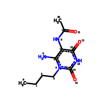 CCCCn1c(N)c(NC(C)=O)c(=O)[nH]c1=O